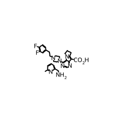 Cc1cccc(CN)n1.O=C(O)c1c2n(c3c(N4CCN(CCc5ccc(F)c(F)c5)CC4)ncnc13)CCC2